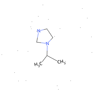 CC(C)N1CC[N]C1